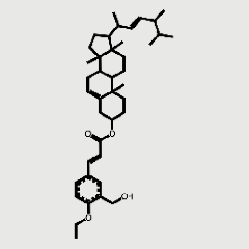 CCOc1ccc(/C=C/C(=O)OC2CCC3(C)C(=CCC4C3CCC3(C)C(C(C)/C=C/C(C)C(C)C)CCC43C)C2)cc1CO